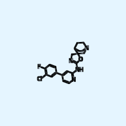 Fc1ccc(-c2ccnc(NC3=NC[C@@]4(CN5CCC4CC5)O3)c2)cc1Cl